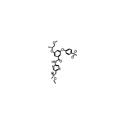 CCOP(C)(=O)Cc1cnc(NC(=O)c2cc(Oc3ccc(S(C)(=O)=O)cc3)cc(O[C@@H](C)COC)c2)cn1